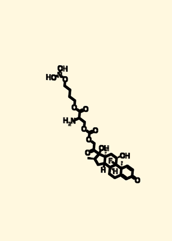 C[C@@H]1C[C@H]2[C@@H]3CCC4=CC(=O)C=C[C@]4(C)[C@@]3(F)[C@@H](O)C[C@]2(C)[C@@]1(O)C(=O)COC(=O)OCC(N)C(=O)OCCCCON(O)O